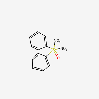 O=[N+]([O-])S(=O)(c1ccccc1)(c1ccccc1)[N+](=O)[O-]